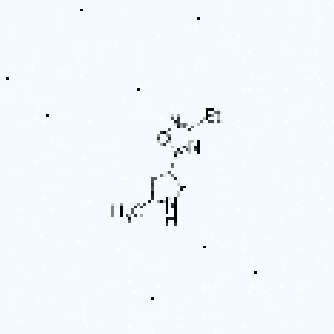 CCc1noc(C2CNC(C)C2)n1